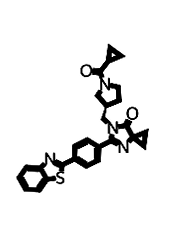 O=C(C1CC1)N1CC[C@@H](CN2C(=O)C3(CC3)N=C2c2ccc(-c3nc4ccccc4s3)cc2)C1